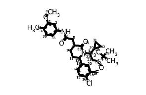 COc1cc(NC(=O)CC2CCC(c3ccc(Cl)c(F)c3)N(C(C[S+]([O-])C(C)(C)C)C3CC3)C2=O)ccc1C